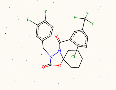 O=C1OC2(CCCCC2)N(C(=O)c2cc(C(F)(F)F)ccc2Cl)N1Cc1ccc(F)c(F)c1